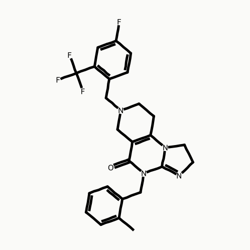 Cc1ccccc1CN1C(=O)C2=C(CCN(Cc3ccc(F)cc3C(F)(F)F)C2)N2CCN=C12